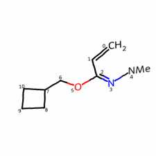 C=C/C(=N\NC)OCC1CCC1